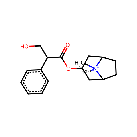 CCC[N+]1(C)C2CCC1CC(OC(=O)C(CO)c1ccccc1)C2